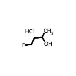 CC(O)CCF.Cl